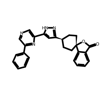 O=C1O[C@]2(CC[C@H](c3cc(-c4cncc(-c5ccccc5)n4)[nH]n3)CC2)c2ccccc21